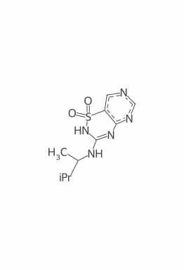 CC(C)C(C)NC1=Nc2ncncc2S(=O)(=O)N1